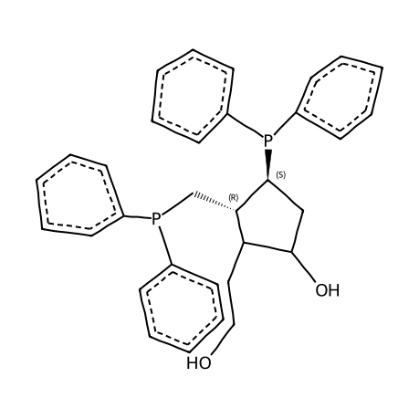 OCCC1C(O)C[C@H](P(c2ccccc2)c2ccccc2)[C@H]1CP(c1ccccc1)c1ccccc1